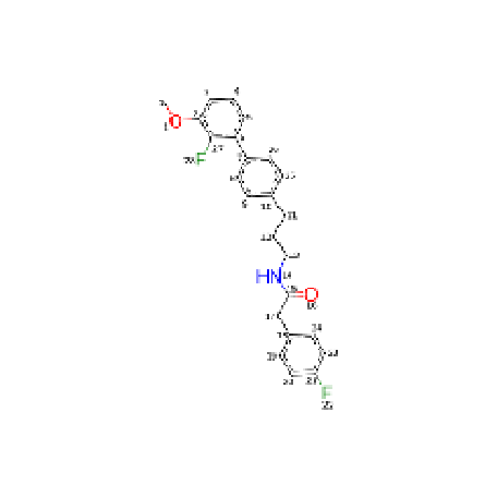 COc1cccc(-c2ccc(CCCNC(=O)Cc3ccc(F)cc3)cc2)c1F